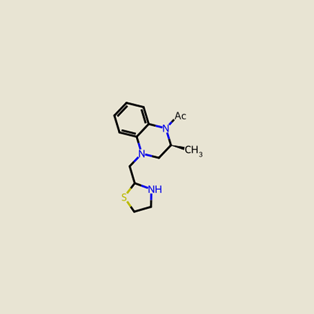 CC(=O)N1c2ccccc2N(CC2NCCS2)C[C@@H]1C